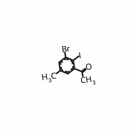 CC(=O)c1cc(C)cc(Br)c1I